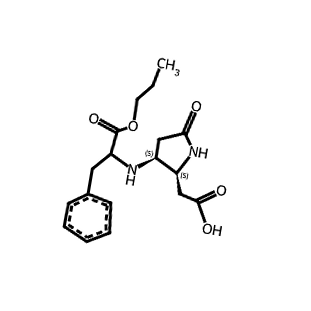 CCCOC(=O)C(Cc1ccccc1)N[C@H]1CC(=O)N[C@H]1CC(=O)O